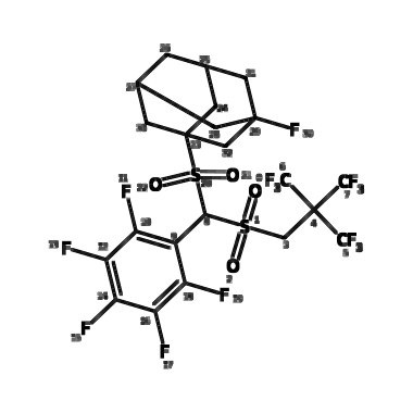 O=S(=O)(CC(C(F)(F)F)(C(F)(F)F)C(F)(F)F)C(c1c(F)c(F)c(F)c(F)c1F)S(=O)(=O)C12CC3CC(CC(F)(C3)C1)C2